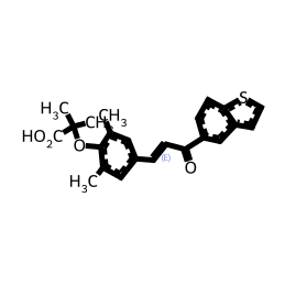 Cc1cc(/C=C/C(=O)c2ccc3sccc3c2)cc(C)c1OC(C)(C)C(=O)O